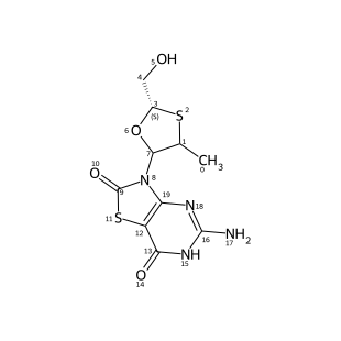 CC1S[C@@H](CO)OC1n1c(=O)sc2c(=O)[nH]c(N)nc21